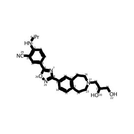 CC(C)Nc1ccc(-c2nc(-c3ccc4c(c3)CCN(CC(O)CO)CC4)no2)cc1C#N